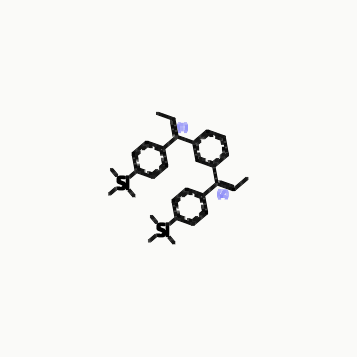 C/C=C(/c1ccc([Si](C)(C)C)cc1)c1cccc(/C(=C/C)c2ccc([Si](C)(C)C)cc2)c1